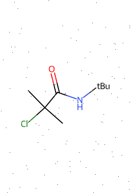 CC(C)(C)NC(=O)C(C)(C)Cl